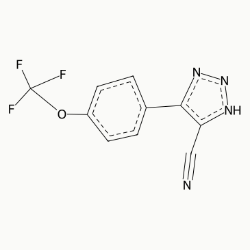 N#Cc1[nH]nnc1-c1ccc(OC(F)(F)F)cc1